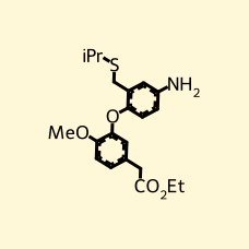 CCOC(=O)Cc1ccc(OC)c(Oc2ccc(N)cc2CSC(C)C)c1